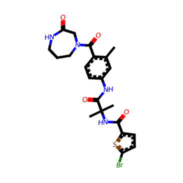 Cc1cc(NC(=O)C(C)(C)NC(=O)c2ccc(Br)s2)ccc1C(=O)N1CCCNC(=O)C1